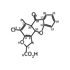 CC1=C(Cl)C2=C(CC(C(=O)O)O2)C2Oc3ccccc3C(=O)C12